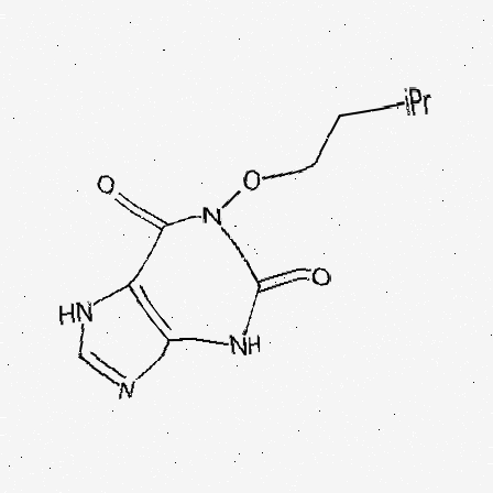 CC(C)CCOn1c(=O)[nH]c2nc[nH]c2c1=O